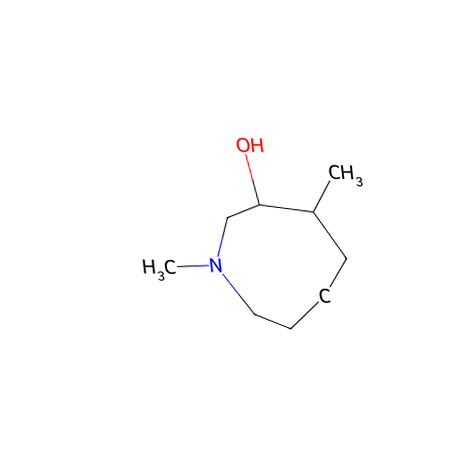 CC1CCCCN(C)CC1O